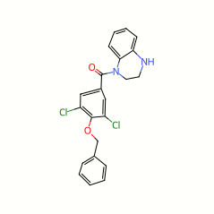 O=C(c1cc(Cl)c(OCc2ccccc2)c(Cl)c1)N1CCNc2ccccc21